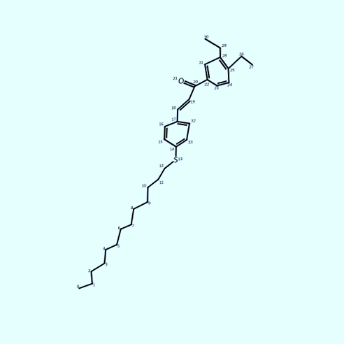 CCCCCCCCCCCCCSc1ccc(C=CC(=O)c2ccc(CC)c(CC)c2)cc1